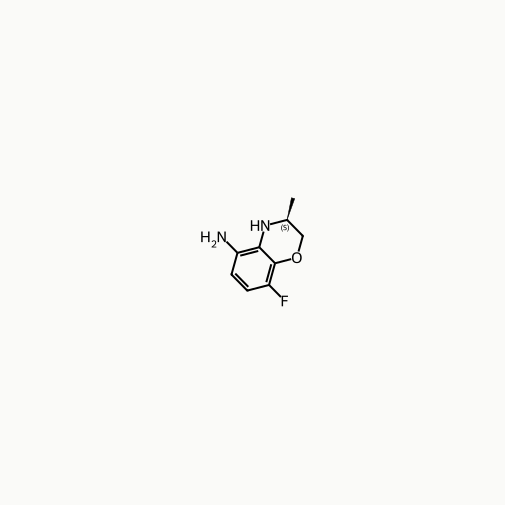 C[C@H]1COc2c(F)ccc(N)c2N1